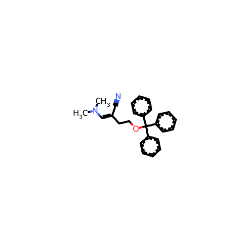 CN(C)C=C(C#N)CCOC(c1ccccc1)(c1ccccc1)c1ccccc1